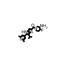 Cc1cc(-c2[nH]c3cc(C(=O)N4CC[C@H](F)[C@@H](N)C4)sc3c2C(C)C)cc(C)n1